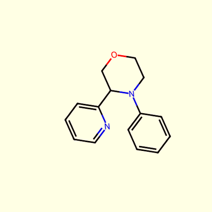 c1ccc(N2CCOCC2c2ccccn2)cc1